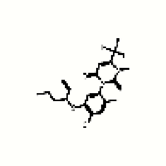 C=CC(CCC)Sc1cc(N2C(=C)N(C)C(C(F)(F)F)=CC2=O)c(F)cc1Cl